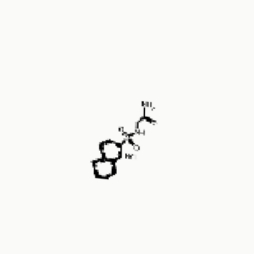 Cl.NC(=O)CNS(=O)(=O)c1ccc2ccccc2c1